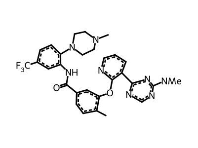 CNc1ncnc(-c2cccnc2Oc2cc(C(=O)Nc3cc(C(F)(F)F)ccc3N3CCN(C)CC3)ccc2C)n1